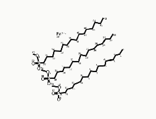 CCCCCCCCCCCCCCCCP(=O)([O-])OC.CCCCCCCCCCCCCCCCP(=O)([O-])OC.CCCCCCCCCCCCCCCCP(=O)([O-])OC.[Fe+3]